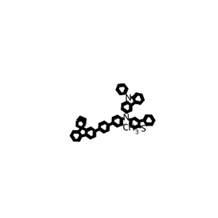 Cc1cc(-c2ccc(-c3ccc4c(c3)C3(CC5CCC3C5)c3ccccc3-4)cc2)ccc1N(c1ccc2sc3ccccc3c2c1)c1ccc2c(c1)c1ccccc1n2-c1ccccc1